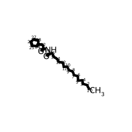 CCCCCCCCCCCCCCCCCC(=O)NC(=O)Cc1ccccc1